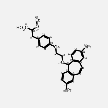 CCCc1ccc2c(c1)C=Cc1cc(CCC)ccc1C2OCCOc1ccc(CC(OCC)C(=O)O)cc1